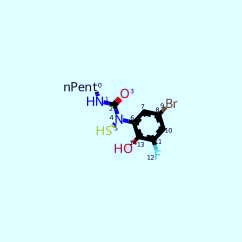 CCCCCNC(=O)N(S)c1cc(Br)cc(F)c1O